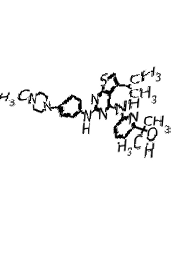 CC(C)c1csc2nc(Nc3ccc(N4CCN(C)CC4)cc3)nc(Nc3cccc(C(C)(C)O)n3)c12